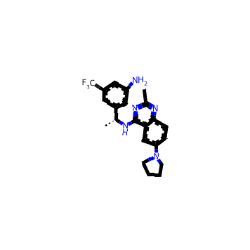 Cc1nc(N[C@H](C)c2cc(N)cc(C(F)(F)F)c2)c2cc(N3CCCC3)[c]cc2n1